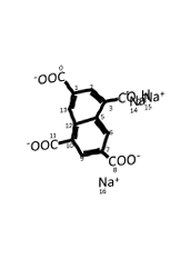 O=C([O-])c1cc(C(=O)O)c2cc(C(=O)[O-])cc(C(=O)[O-])c2c1.[Na+].[Na+].[Na+]